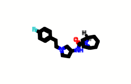 O=C(NC1CCN(CCc2ccc(F)cc2)C1)N1C2CCC[C@H]1CC2